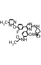 C=CC(=O)Nc1ccc(-c2nc(NC3CCN(C)C3)ncc2-c2ccc(Oc3nccc(C)n3)c(F)c2)c(OC)c1